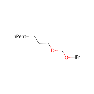 CCCCCCCCOCOC(C)C